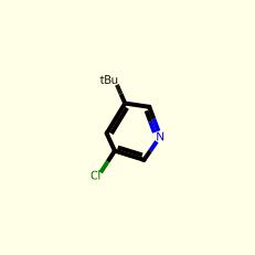 CC(C)(C)c1cncc(Cl)c1